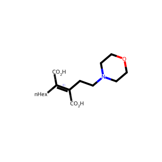 CCCCCC/C(C(=O)O)=C(/CCN1CCOCC1)C(=O)O